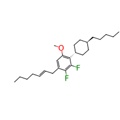 CCCCC=CCc1cc(OC)c([C@H]2CC[C@H](CCCCC)CC2)c(F)c1F